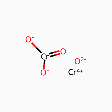 [Cr+4].[O-2].[O]=[Cr]([O-])[O-]